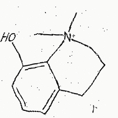 C[N+]1(C)CCCc2cccc(O)c21.[I-]